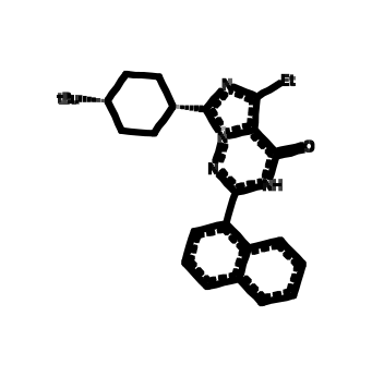 CCc1nc([C@H]2CC[C@@H](C(C)(C)C)CC2)n2nc(-c3cccc4ccccc34)[nH]c(=O)c12